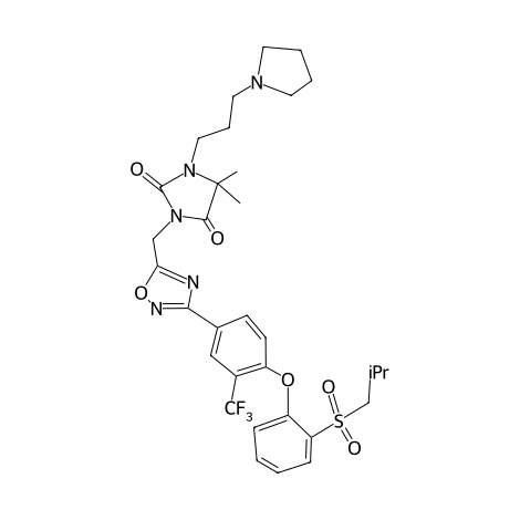 CC(C)CS(=O)(=O)c1ccccc1Oc1ccc(-c2noc(CN3C(=O)N(CCCN4CCCC4)C(C)(C)C3=O)n2)cc1C(F)(F)F